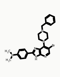 CN(C)c1ccc(-c2nc3c(N4CCN(Cc5ccccc5)CC4)c(Br)cnc3[nH]2)cc1